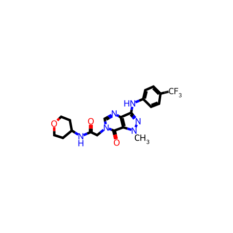 Cn1nc(Nc2ccc(C(F)(F)F)cc2)c2ncn(CC(=O)NC3CCOCC3)c(=O)c21